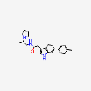 Cc1ccc(-c2ccc3c(CC(=O)NCC(C)N4CCCC4)c[nH]c3c2)cc1